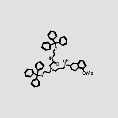 CCCN(CCCN(CCSC(c1ccccc1)(c1ccccc1)c1ccccc1)CC(=O)NCCSC(c1ccccc1)(c1ccccc1)c1ccccc1)C1CCc2c(cccc2OC)C1